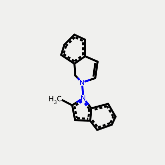 Cc1cc2ccccc2n1N1C=Cc2ccccc2C1